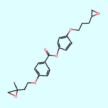 CC1(CCOc2ccc(C(=O)Oc3ccc(OCCCC4CO4)cc3)cc2)CO1